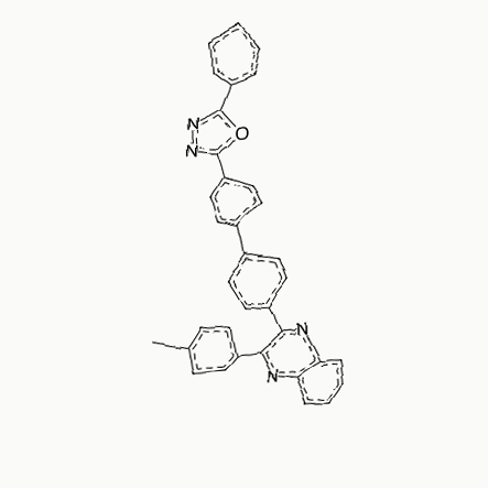 Cc1ccc(-c2nc3ccccc3nc2-c2ccc(-c3ccc(-c4nnc(-c5ccccc5)o4)cc3)cc2)cc1